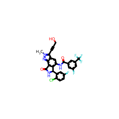 Cn1nc2c3c(c(NC(=O)c4cc(F)cc(C(F)(F)F)c4)cc2c1C#CCO)C(c1cc(F)ccc1Cl)NC3=O